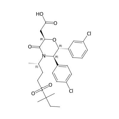 CCC(C)(C)S(=O)(=O)CC[C@H](C)N1C(=O)[C@@H](CC(=O)O)O[C@H](c2cccc(Cl)c2)[C@H]1c1ccc(Cl)cc1